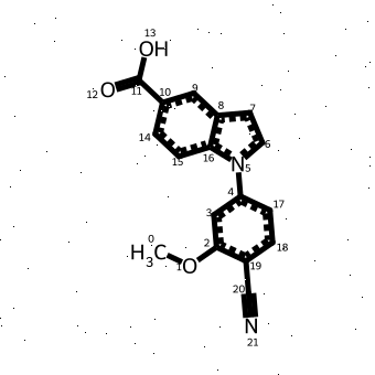 COc1cc(-n2ccc3cc(C(=O)O)ccc32)ccc1C#N